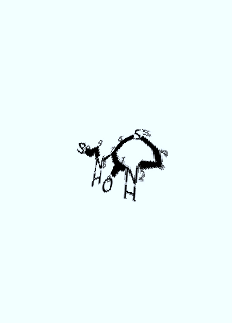 O=C1NCCSC[C@@H]1NC=S